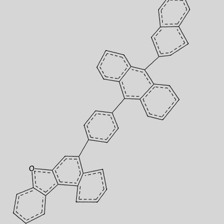 c1ccc2cc(-c3c4ccccc4c(-c4ccc(-c5cc6oc7ccccc7c6c6ccccc56)cc4)c4ccccc34)ccc2c1